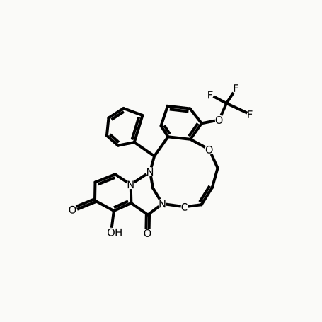 O=C1c2c(O)c(=O)ccn2N2CN1C/C=C\COc1c(OC(F)(F)F)cccc1C2c1ccccc1